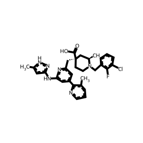 Cc1cc(Nc2cc(-c3ncccc3C)cc(C[C@@]3(C(=O)O)CCN(Cc4cccc(Cl)c4F)[C@H](C)C3)n2)n[nH]1